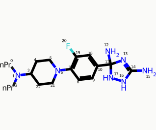 CCCN(CCC)C1CCN(c2ccc(C3(N)N=C(N)NN3)cc2F)CC1